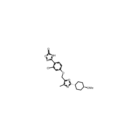 CO[C@H]1CC[C@H](c2nc(C)c(COc3ccc(-c4noc(=O)[nH]4)c(Cl)c3)o2)CC1